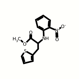 COC(=O)C(Cc1cccs1)Nc1ccccc1[N+](=O)[O-]